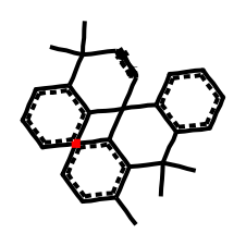 Cc1cccc2c1C(C)(C)c1ccccc1C21c2ccccc2C(C)(C)c2ccccc21